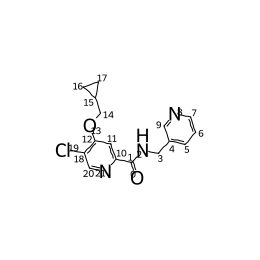 O=C(NCc1cccnc1)c1cc(OCC2CC2)c(Cl)cn1